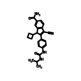 CC(C)NC(=O)Nc1ccc(C2=C(C#N)c3ccc(C(N)=O)cc3C2C2CCC2)cc1